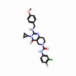 COc1ccc(CNc2nc3c(c(=O)n2C2CC2)CN(C(=O)Nc2ccc(F)c(F)c2)CC3)cc1